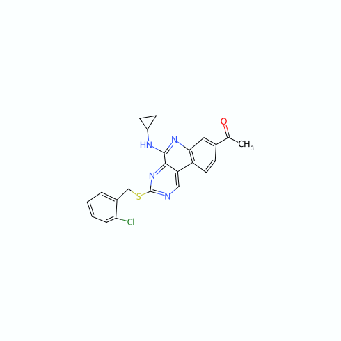 CC(=O)c1ccc2c(c1)nc(NC1CC1)c1nc(SCc3ccccc3Cl)ncc12